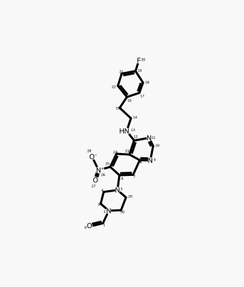 O=CN1CCN(c2cc3ncnc(NCCc4ccc(F)cc4)c3cc2[N+](=O)[O-])CC1